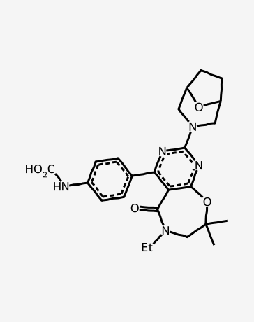 CCN1CC(C)(C)Oc2nc(N3CC4CCC(C3)O4)nc(-c3ccc(NC(=O)O)cc3)c2C1=O